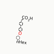 CCCCCC[C@H]1CC[C@H](COc2ccc(-c3ccc(C=CC(=O)O)cc3)cc2)CC1